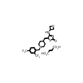 O=C(O)C=CC(=O)O.O=C1N=C(NC2COC2)C(=CC2CCN(Cc3ccc(C(F)(F)F)cc3C(F)(F)F)CC2)S1